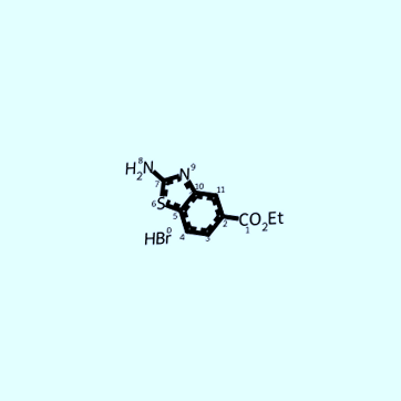 Br.CCOC(=O)c1ccc2sc(N)nc2c1